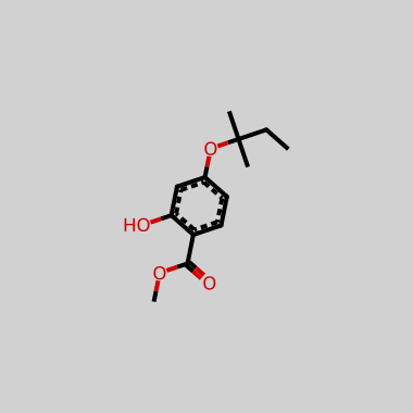 CCC(C)(C)Oc1ccc(C(=O)OC)c(O)c1